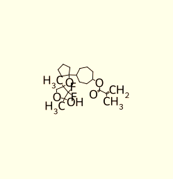 C=C(C)C(=O)OC1CCCC(C2(OC3(C)COC(C)(O)C3(F)F)CCCC2)CC1